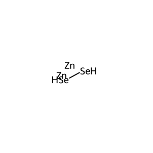 [SeH][SeH].[Zn].[Zn]